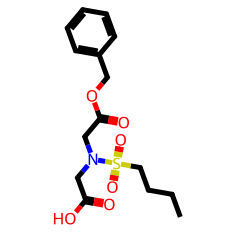 CCCCS(=O)(=O)N(CC(=O)O)CC(=O)OCc1ccccc1